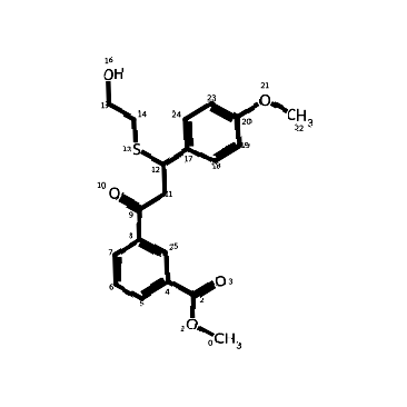 COC(=O)c1cccc(C(=O)CC(SCCO)c2ccc(OC)cc2)c1